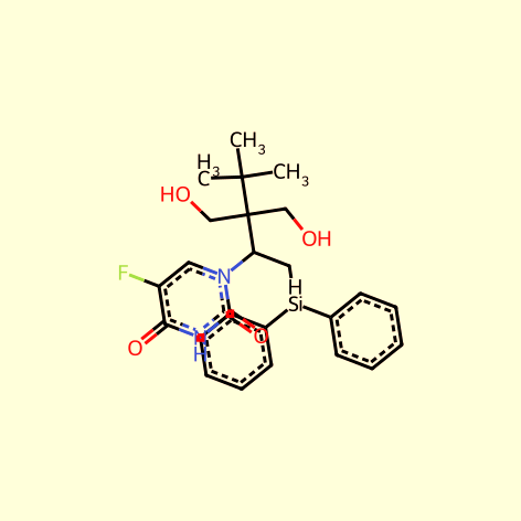 CC(C)(C)C(CO)(CO)C(C[SiH](c1ccccc1)c1ccccc1)n1cc(F)c(=O)[nH]c1=O